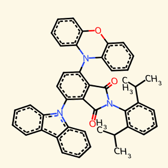 CC(C)c1cccc(C(C)C)c1N1C(=O)c2c(N3c4ccccc4Oc4ccccc43)ccc(-n3c4ccccc4c4ccccc43)c2C1=O